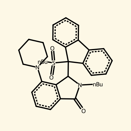 CCCCN1C(=O)c2cccc(N3CCCCC3)c2C1C1(S(=O)(=O)CCCC)c2ccccc2-c2ccccc21